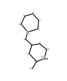 CC1CC(CN2CCCCC2)CCN1